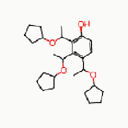 CC(OC1CCCC1)c1ccc(O)c(C(C)OC2CCCC2)c1C(C)OC1CCCC1